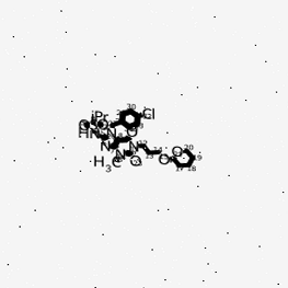 CC(C)S(=O)(=O)Nc1nc2c(c(=O)n(CCCOC3CCCCO3)c(=O)n2C)n1Cc1ccc(Cl)cc1